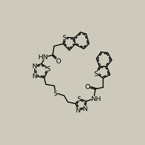 O=C(Cc1cc2ccccc2s1)Nc1nnc(CCSCCc2nnc(NC(=O)Cc3cc4ccccc4s3)s2)s1